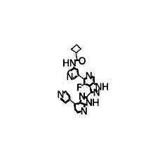 O=C(Nc1cncc(-c2ncc3[nH]nc(-c4nc5c(-c6ccncc6)ccnc5[nH]4)c3c2F)c1)C1CCC1